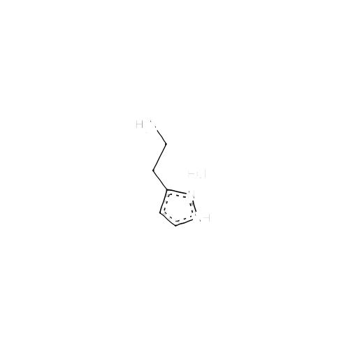 Cl.NCCc1cc[nH]n1